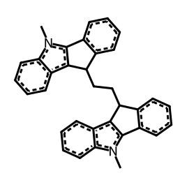 Cn1c2c(c3ccccc31)C(CCC1c3ccccc3-c3c1c1ccccc1n3C)c1ccccc1-2